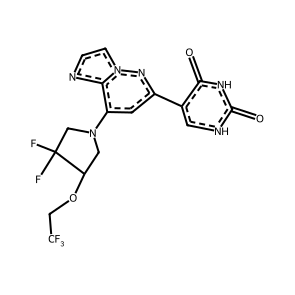 O=c1[nH]cc(-c2cc(N3CC(OCC(F)(F)F)C(F)(F)C3)c3nccn3n2)c(=O)[nH]1